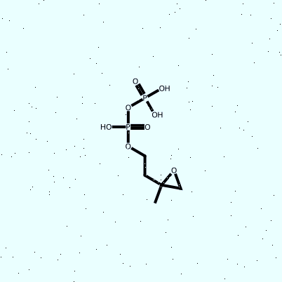 CC1(CCOP(=O)(O)OP(=O)(O)O)CO1